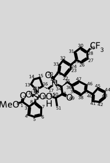 COC(=O)c1ccccc1S(=O)(=O)N1CCC[C@@H]1CN(C(=O)c1ccc(-c2ccc(C(F)(F)F)cc2)cc1)[C@@H](Cc1ccc(-c2ccccc2)cc1)C(=O)C(C)O